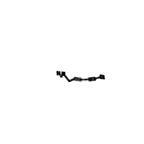 CCC#CC#CCN